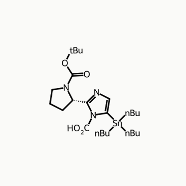 CCC[CH2][Sn]([CH2]CCC)([CH2]CCC)[c]1cnc([C@@H]2CCCN2C(=O)OC(C)(C)C)n1C(=O)O